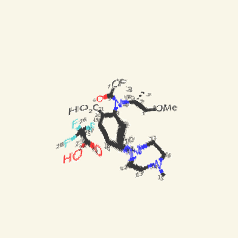 COC[C@@H](C)N(C(=O)C(F)(F)F)c1cc(N2CCN(C)CC2)ccc1C(=O)O.O=C(O)C(F)(F)F